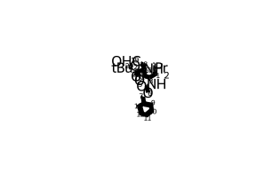 CC(C)CC(NC(=O)OCc1ccccc1)C(=O)C(N)(CC=O)C(=O)OC(C)(C)C